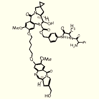 COc1cc2c(cc1OCCCCCOc1cc3c(cc1OC)C(=O)N1CC4(CC4)C[C@H]1C(O)N3C(=O)OCc1ccc(NC(=O)C(C)NC(=O)C(N)C(C)C)cc1)N=C[C@@H]1CC(CO)=CN1C2=O